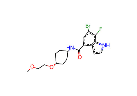 COCCO[C@H]1CC[C@H](NC(=O)c2cc(Br)c(F)c3[nH]ccc23)CC1